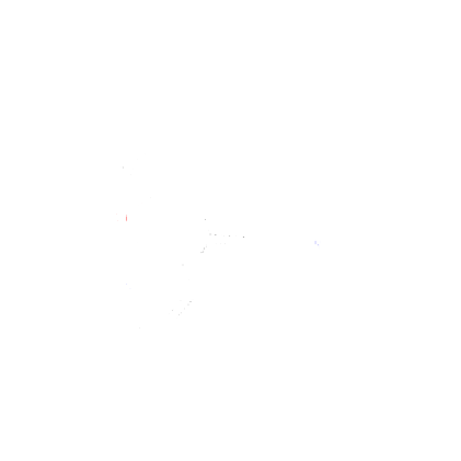 CN1CCC(=C2c3ccccc3Oc3ncccc32)CC1